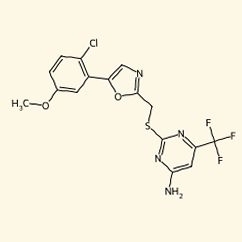 COc1ccc(Cl)c(-c2cnc(CSc3nc(N)cc(C(F)(F)F)n3)o2)c1